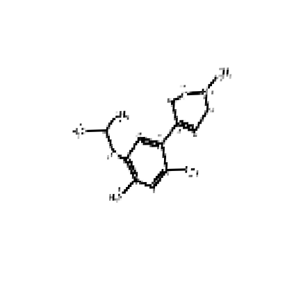 Cc1cc(N)c(OC(C)C)cc1C1=CCN(C)CC1